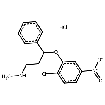 CNCCC(Oc1cc([N+](=O)[O-])ccc1Cl)c1ccccc1.Cl